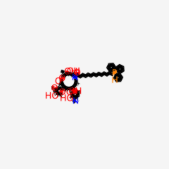 CC[C@H]1OC(=O)[C@H](C)[C@@H](C2C[C@@](C)(OC)[C@@H](O)[C@H](C)O2)[C@H](C)[C@@H](O[C@@H]2O[C@H](C)C[C@H](N(C)C)[C@H]2O)[C@](C)(O)C[C@@H](C)CN(C(=O)CCCCCCCCCCCCC[PH](c2ccccc2)(c2ccccc2)c2ccccc2)[C@H](C)[C@@H](O)[C@]1(C)O